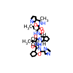 CCC[C@@H](NC(=O)[C@@H]1[C@H]2CCC[C@H]2CN1C(=O)[C@@H](NC(=O)[C@H](NC(=O)c1cnccn1)C1CCCCC1)C(C)(C)C)C(=O)C(=O)N[C@H](C)c1cccnc1